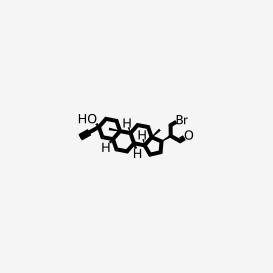 C#C[C@]1(O)CC[C@@]2(C)[C@H](CC[C@@H]3[C@@H]2CC[C@]2(C)[C@@H](C(C=O)CBr)CC[C@@H]32)C1